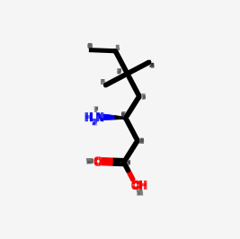 CCC(C)(C)C[C@H](N)CC(=O)O